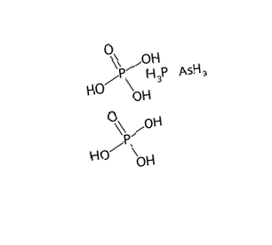 O=P(O)(O)O.O=P(O)(O)O.P.[AsH3]